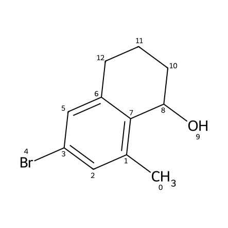 Cc1cc(Br)cc2c1C(O)CCC2